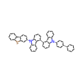 c1ccc(-c2ccc(-n3c4ccccc4c4c(-c5cccc6c5c5ccccc5n6-c5ccc6c(c5)sc5ccccc56)cccc43)cc2)cc1